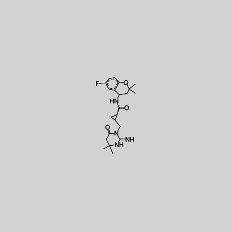 CC1(C)CC(=O)N(CC2C[C@H]2C(=O)NC2CC(C)(C)Oc3ccc(F)cc32)C(=N)N1